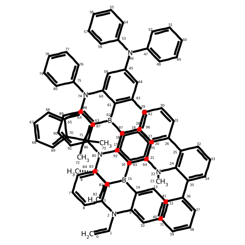 C=CN(c1ccccc1)c1ccccc1B(c1cc2c(cc1N(C)c1c(-c3ccccc3)cccc1-c1ccccc1)Oc1cc(N(c3ccccc3)c3ccccc3)cc3c1B2C1=C(c2ccccc2C1(C)C)N3c1ccccc1)C(C)[C@H](C)N(c1ccccc1)c1ccccc1